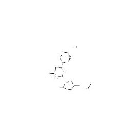 C=C(CC)NCc1ccc(O)c(-c2nc(-c3ccc(OCCC)nc3)cc(=O)[nH]2)c1